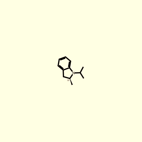 CC(C)N1c2ccccc2C[C@@H]1C